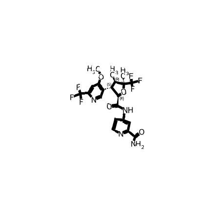 COc1cc(C(F)(F)F)ncc1[C@@H]1[C@@H](C)[C@@](C)(C(F)(F)F)O[C@H]1C(=O)Nc1ccnc(C(N)=O)c1